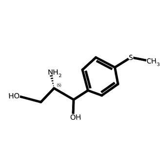 CSc1ccc(C(O)[C@@H](N)CO)cc1